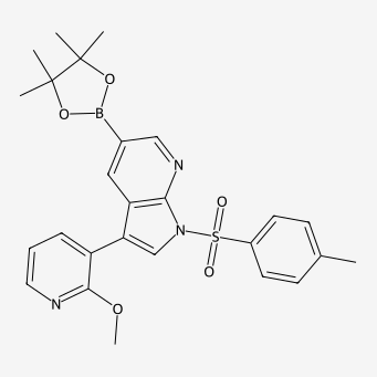 COc1ncccc1-c1cn(S(=O)(=O)c2ccc(C)cc2)c2ncc(B3OC(C)(C)C(C)(C)O3)cc12